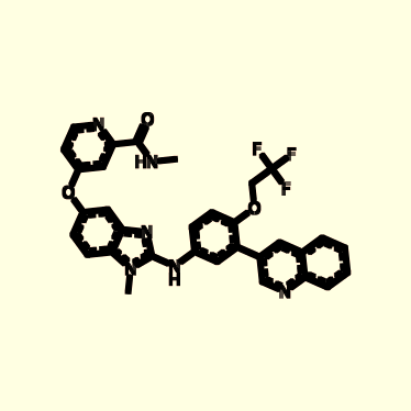 CNC(=O)c1cc(Oc2ccc3c(c2)nc(Nc2ccc(OCC(F)(F)F)c(-c4cnc5ccccc5c4)c2)n3C)ccn1